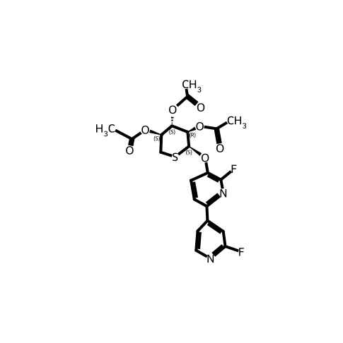 CC(=O)O[C@@H]1[C@@H](OC(C)=O)[C@@H](Oc2ccc(-c3ccnc(F)c3)nc2F)SC[C@H]1OC(C)=O